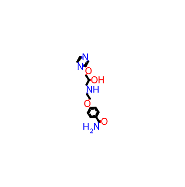 NC(=O)c1ccc(OCCNCC(O)COc2cnccn2)cc1